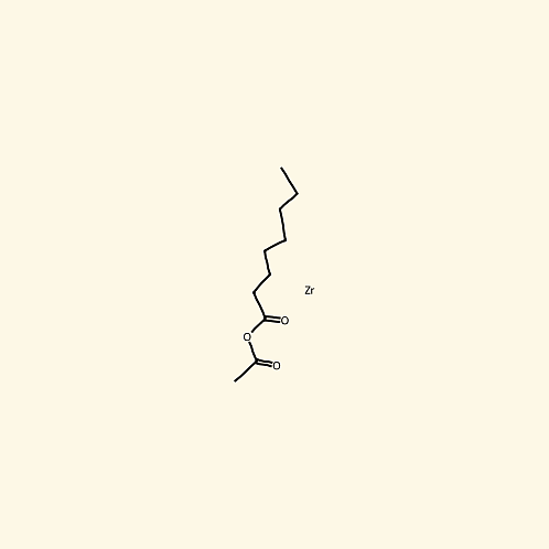 CCCCCCCC(=O)OC(C)=O.[Zr]